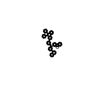 c1ccc(-c2c(-c3ccccc3)c3cc(-c4cccc(N(c5cccc(-c6cccc7ccccc67)c5)c5ccc6c(c5)oc5ccccc56)c4)ccc3c3ccccc23)cc1